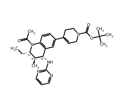 CC[C@H]1[C@H](C)[C@@H](Nc2ncccn2)c2cc(C3=CCN(C(=O)OC(C)(C)C)CC3)ccc2N1C(C)=O